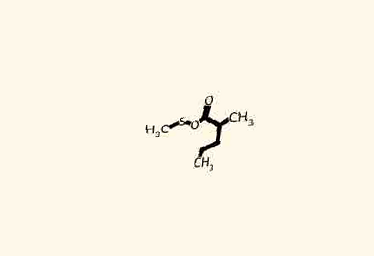 CCCC(C)C(=O)OSC